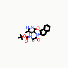 CC(C)C[C@@H](C(N)=O)N(C(=O)[C@H](C)NC(=O)OC(C)(C)C)c1ccc2ccccc2c1